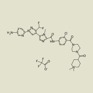 Cn1c(-c2cn(-c3ccc(N)cn3)nc2C(F)F)cnc1C(=O)Nc1ccc(C(=O)N2CCN(C(=O)C3CC[N+](C)(C)CC3)CC2)c(Cl)c1.O=C([O-])C(F)(F)F